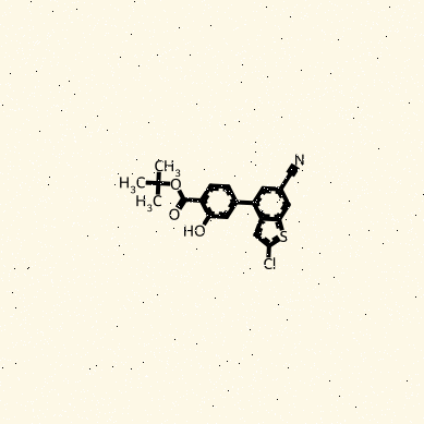 CC(C)(C)OC(=O)c1ccc(-c2cc(C#N)cc3sc(Cl)cc23)cc1O